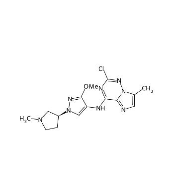 COc1nn([C@H]2CCN(C)C2)cc1Nc1nc(Cl)nn2c(C)cnc12